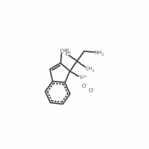 CC1=Cc2ccccc2[C]1([Ti+2])C(C)(C)CN.[Cl-].[Cl-]